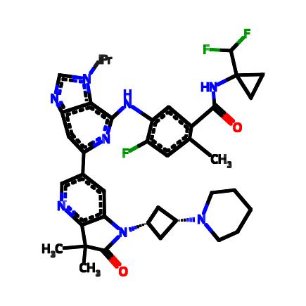 Cc1cc(F)c(Nc2nc(-c3cnc4c(c3)N([C@H]3C[C@@H](N5CCCCC5)C3)C(=O)C4(C)C)cc3ncn(C(C)C)c23)cc1C(=O)NC1(C(F)F)CC1